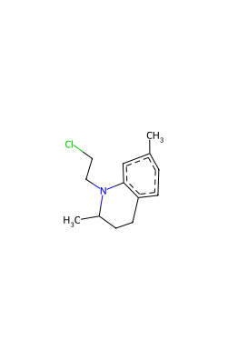 Cc1ccc2c(c1)N(CCCl)C(C)CC2